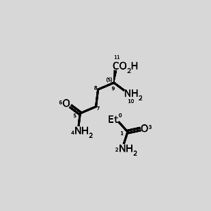 CCC(N)=O.NC(=O)CC[C@H](N)C(=O)O